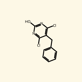 Oc1nc(Cl)c(Cc2ccccc2)c(Cl)n1